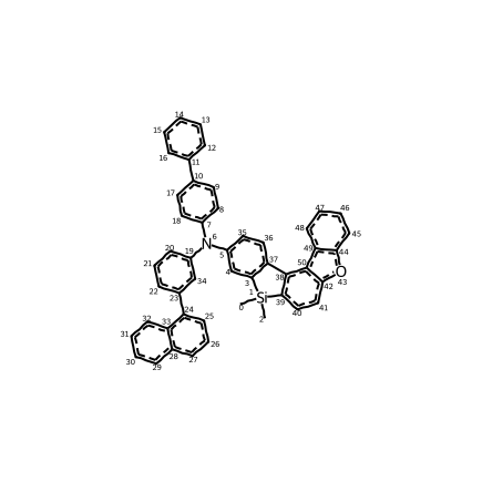 C[Si]1(C)c2cc(N(c3ccc(-c4ccccc4)cc3)c3cccc(-c4cccc5ccccc45)c3)ccc2-c2c1ccc1oc3ccccc3c21